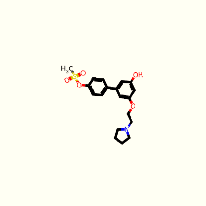 CS(=O)(=O)Oc1ccc(-c2[c]c(OCCN3CCCC3)cc(O)c2)cc1